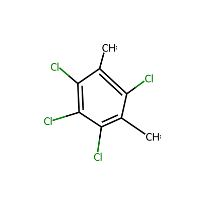 [CH]c1c(Cl)c([CH])c(Cl)c(Cl)c1Cl